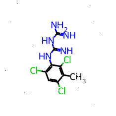 Cc1c(Cl)cc(Cl)c(NC(=N)NC(=N)N)c1Cl